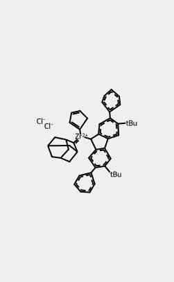 CC(C)(C)c1cc2c(cc1-c1ccccc1)[CH]([Zr+2]([C]1=CC=CC1)=[C]1C3CC4CC(C3)CC1C4)c1cc(-c3ccccc3)c(C(C)(C)C)cc1-2.[Cl-].[Cl-]